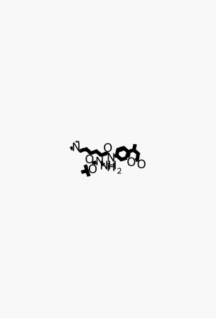 CC1CC(=O)OC2=C1C=CC(NC(=O)C(CCCCN(C)C)N(N)C(=O)OC(C)(C)C)C2